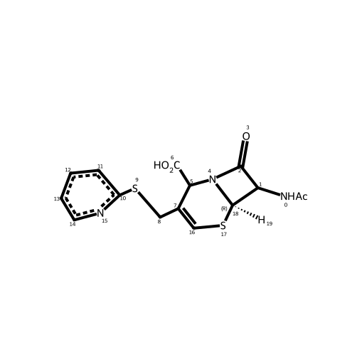 CC(=O)NC1C(=O)N2C(C(=O)O)C(CSc3ccccn3)=CS[C@H]12